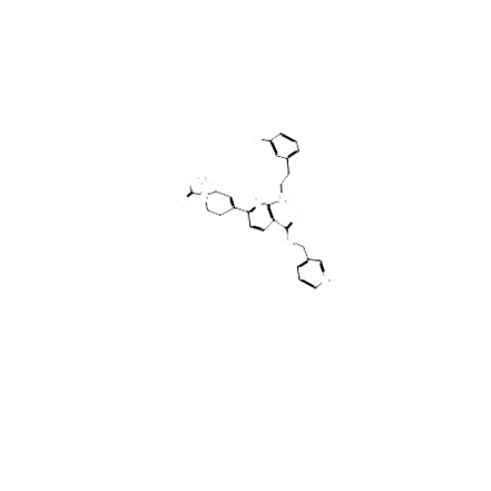 COC(=O)N1CC=C(c2ccc(C(=O)NCc3cccnc3)c(NCCc3cccc(F)c3)n2)CC1